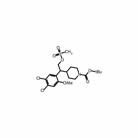 COc1cc(Cl)c(Cl)cc1C(COS(C)(=O)=O)C1CCN(C(=O)OC(C)(C)C)CC1